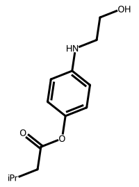 CC(C)CC(=O)Oc1ccc(NCCO)cc1